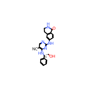 N#Cc1cnc(Nc2ccc3c(c2)CCNC3=O)nc1N[C@H](CO)c1ccccc1